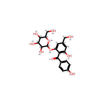 O=C(c1ccc(O)cc1)c1c(O)cc(CO)cc1OC1OC(CO)C(O)C(O)C1O